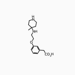 CC1(NCCOc2cccc(CC(=O)O)c2)CCNCC1